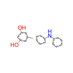 Cc1cc(O)cc(O)c1.c1ccc(Nc2ccccc2)cc1